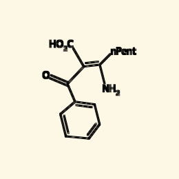 CCCCCC(N)=C(C(=O)O)C(=O)c1ccccc1